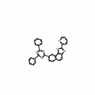 c1ccc(-c2nc(-c3ccccc3)nc(-c3ccc4ccc5nc(-c6ccccn6)oc5c4c3)n2)cc1